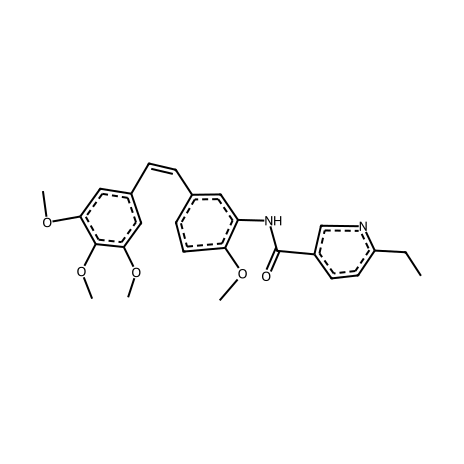 CCc1ccc(C(=O)Nc2cc(/C=C\c3cc(OC)c(OC)c(OC)c3)ccc2OC)cn1